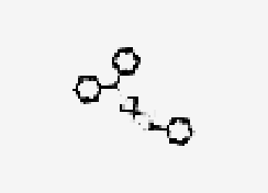 N#CC1(NC(=O)c2ccccc2)CN(C(c2ccccc2)c2ccccc2)C1